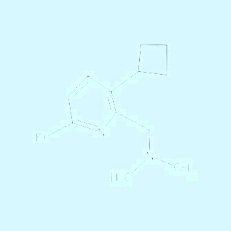 CCc1ccc(C2CCC2)c(CN(C)C)n1